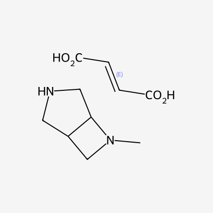 CN1CC2CNCC21.O=C(O)/C=C/C(=O)O